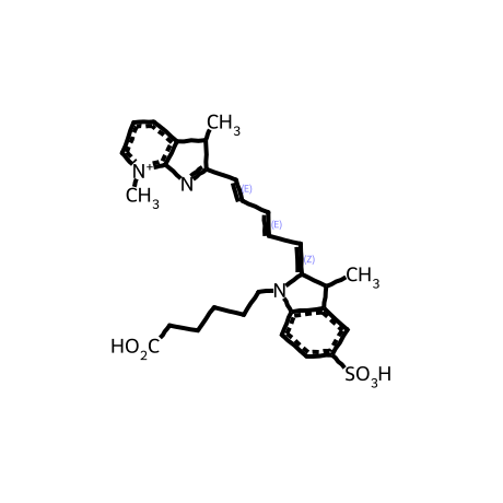 CC1C(/C=C/C=C/C=C2/C(C)c3cc(S(=O)(=O)O)ccc3N2CCCCCC(=O)O)=Nc2c1ccc[n+]2C